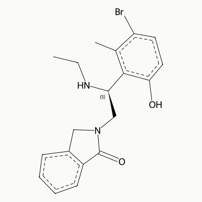 CCN[C@H](CN1Cc2ccccc2C1=O)c1c(O)ccc(Br)c1C